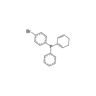 Brc1ccc(P(C2=CCCC=C2)c2ccccc2)cc1